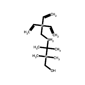 C=C[Si](C=C)(C=C)C[SiH2]C(C)(C)[Si](C)(C)CO